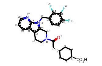 O=C(C[C@H]1CC[C@H](C(=O)O)CC1)N1CCc2c(n(Cc3ccc(F)c(F)c3F)c3ncccc23)C1